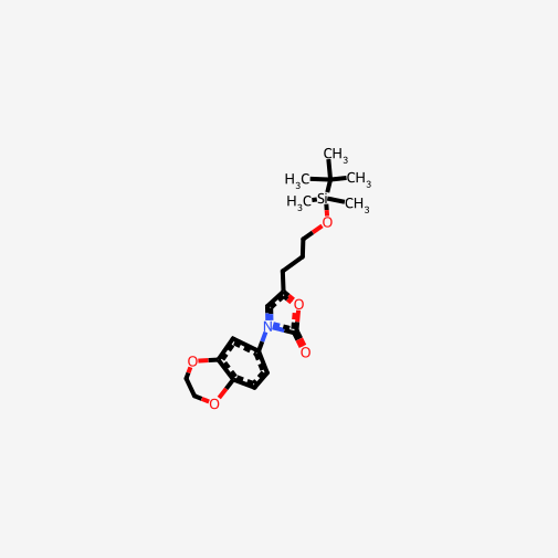 CC(C)(C)[Si](C)(C)OCCCc1cn(-c2ccc3c(c2)OCCO3)c(=O)o1